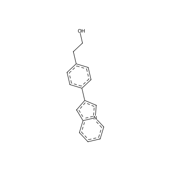 OCCc1ccc(-c2cc3ccccn3c2)cc1